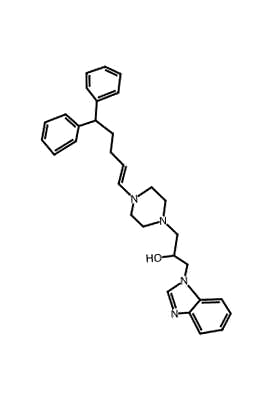 OC(CN1CCN(C=CCCC(c2ccccc2)c2ccccc2)CC1)Cn1cnc2ccccc21